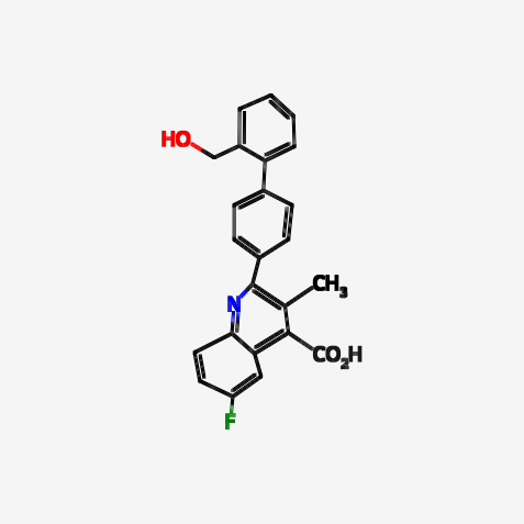 Cc1c(-c2ccc(-c3ccccc3CO)cc2)nc2ccc(F)cc2c1C(=O)O